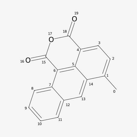 Cc1ccc2c3c(c4ccccc4cc13)C(=O)OC2=O